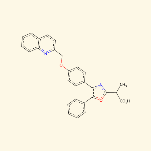 CC(C(=O)O)c1nc(-c2ccc(OCc3ccc4ccccc4n3)cc2)c(-c2ccccc2)o1